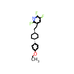 CCOc1ccc([C@H]2CC[C@H](CCc3cc(F)c(F)nc3F)CC2)cc1